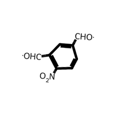 O=[C]c1ccc([N+](=O)[O-])c([C]=O)c1